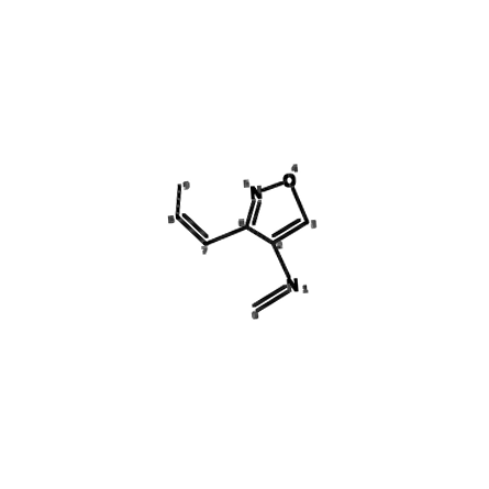 C=Nc1conc1/C=C\C